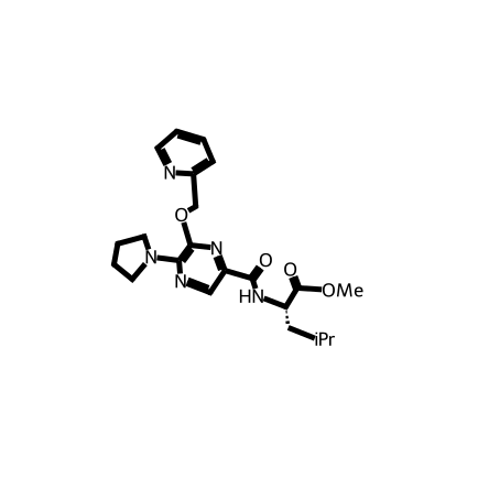 COC(=O)[C@H](CC(C)C)NC(=O)c1cnc(N2CCCC2)c(OCc2ccccn2)n1